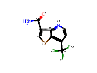 NC(=O)c1csc2c(C(F)(F)F)ccnc12